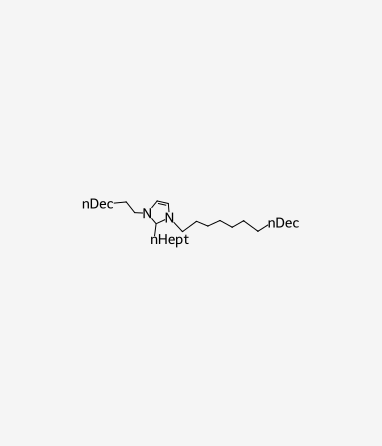 CCCCCCCCCCCCCCCCCN1C=CN(CCCCCCCCCCCC)C1CCCCCCC